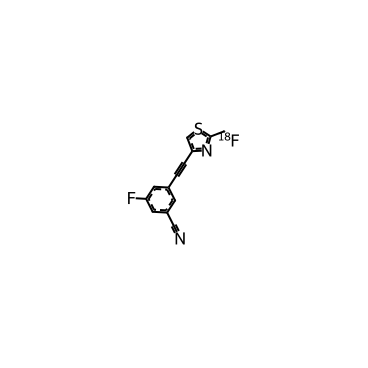 N#Cc1cc(F)cc(C#Cc2csc(C[18F])n2)c1